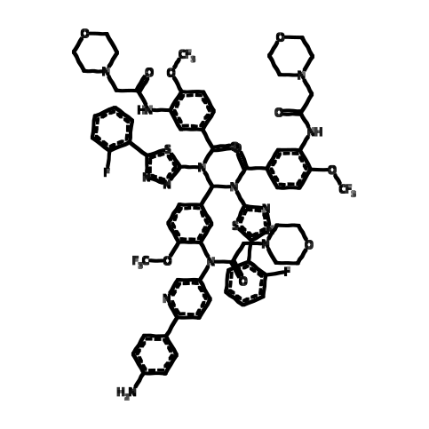 Nc1ccc(-c2ccc(N(C(=O)CN3CCOCC3)c3cc(C(N(C(=O)c4ccc(OC(F)(F)F)c(NC(=O)CN5CCOCC5)c4)c4nnc(-c5ccccc5F)s4)N(C(=O)c4ccc(OC(F)(F)F)c(NC(=O)CN5CCOCC5)c4)c4nnc(-c5ccccc5F)s4)ccc3OC(F)(F)F)cn2)cc1